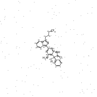 CC1(c2ccccc2)C(=O)Nc2nc(-c3nc(CCCC(F)(F)F)n4ccccc34)nc(N)c21